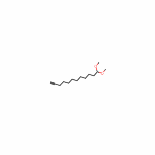 C#CCCCCCCCCCC(OC)OC